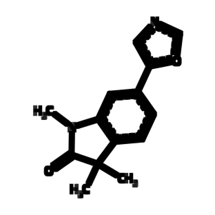 CN1C(=O)C(C)(C)c2ccc(-c3cnco3)cc21